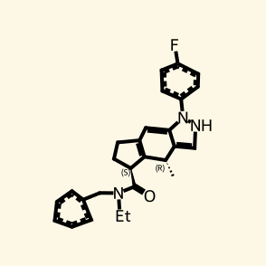 CCN(Cc1ccccc1)C(=O)[C@H]1CCC2=C1[C@@H](C)C1=CNN(c3ccc(F)cc3)C1=C2